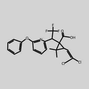 CC1(C)C(C=C(Cl)Cl)C1(C(=O)O)C(c1cccc(Oc2ccccc2)n1)C(F)(F)F